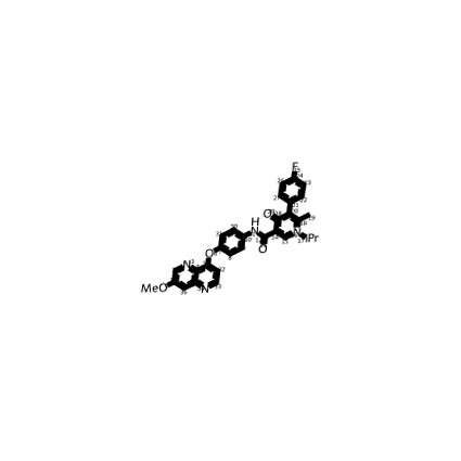 COc1cnc2c(Oc3ccc(NC(=O)c4cn(C(C)C)c(C)c(-c5ccc(F)cc5)c4=O)cc3)ccnc2c1